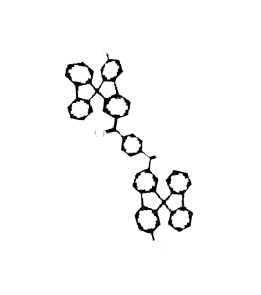 Cc1ccc2c(c1)C1(c3ccccc3-c3ccccc31)c1cc(C(=O)c3ccc(C(=O)c4ccc5c(c4)C4(c6ccccc6-c6ccccc64)c4cc(C)ccc4-5)cc3)ccc1-2